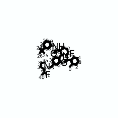 Cc1cccc(F)c1C(=O)N1CCCC(C(=O)Nc2cccc(C(C)(C)C)c2)C1c1ccc(CN2CCCC2C(C)F)cc1